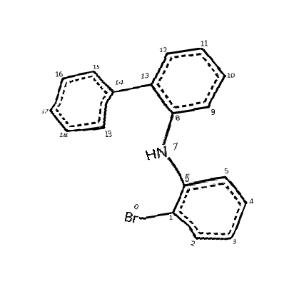 Brc1ccccc1Nc1ccccc1-c1ccccc1